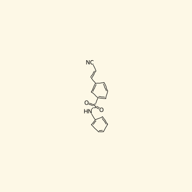 N#C/C=C/c1cccc(S(=O)(=O)Nc2ccccc2)c1